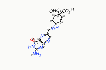 Nc1nc2ncc(CNC3C=CC(C=O)(C(=O)O)CC3)nc2c(=O)[nH]1